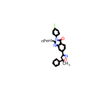 CCCCCc1nc2cc(C3=NOC(C)(c4ccccc4)C3)ccc2c(=O)n1-c1ccc(F)cc1